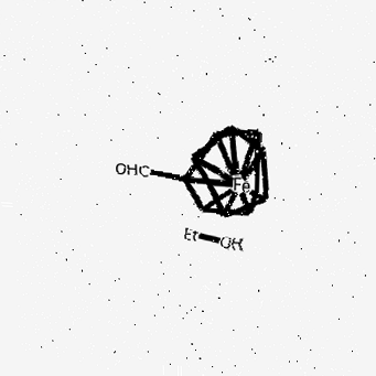 CCO.O=C[C]12[CH]3[CH]4[CH]5[CH]1[Fe]45321678[CH]2[CH]1[CH]6[CH]7[CH]28